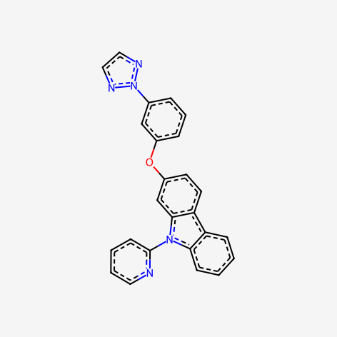 c1ccc(-n2c3ccccc3c3ccc(Oc4cccc(-n5nccn5)c4)cc32)nc1